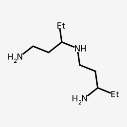 CCC(N)CCNC(CC)CCN